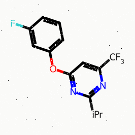 CC(C)c1nc(Oc2cccc(F)c2)cc(C(F)(F)F)n1